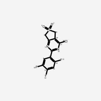 O=S1(=O)Cc2nc(-c3cc(F)c(F)cc3F)nc(Cl)c2C1